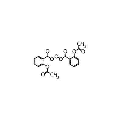 CC(=O)Oc1ccccc1C(=O)OOOC(=O)c1ccccc1OC(C)=O